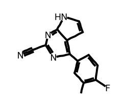 Cc1cc(-c2nc(C#N)nc3[nH]ccc23)ccc1F